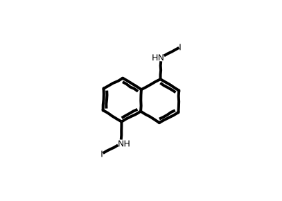 INc1cccc2c(NI)cccc12